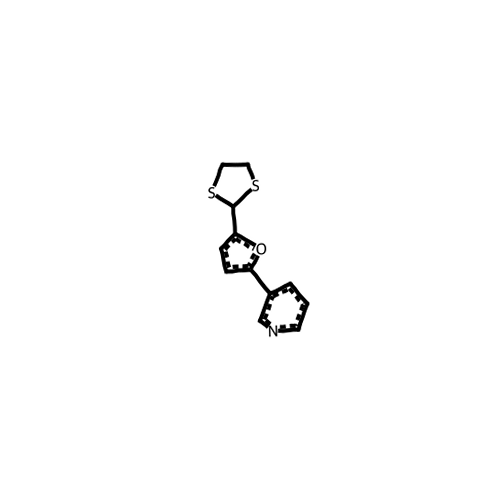 c1cncc(-c2ccc(C3SCCS3)o2)c1